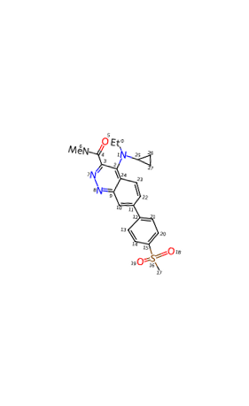 CCN(c1c(C(=O)NC)nnc2cc(-c3ccc(S(C)(=O)=O)cc3)ccc12)C1CC1